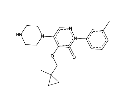 Cc1cccc(-n2ncc(N3CCNCC3)c(OCC3(C)CC3)c2=O)c1